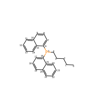 CCCCCP(c1cccc2ccccc12)c1cccc2ccccc12